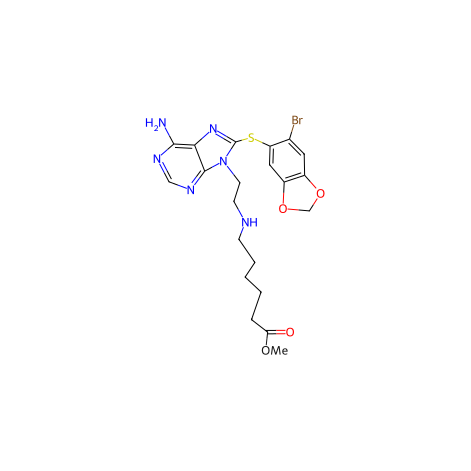 COC(=O)CCCCCNCCn1c(Sc2cc3c(cc2Br)OCO3)nc2c(N)ncnc21